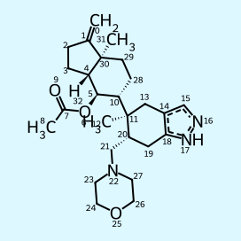 C=C1CC[C@H]2[C@H](OC(C)=O)[C@@H]([C@@]3(C)Cc4cn[nH]c4C[C@@H]3CN3CCOCC3)CC[C@]12C